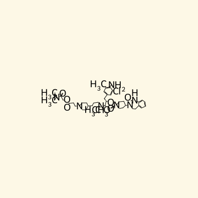 Cc1cc(C[C@@H](OC(=O)N2CCC(N3CCc4ccccc4NC3=O)CC2)C(=O)N(C)CCC(C)C2CCN(CCC(=O)OCC(=O)N(C)C)CC2)cc(Cl)c1N